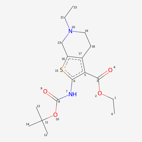 CCOC(=O)c1c(NC(=O)OC(C)(C)C)sc2c1CCN(CC)C2